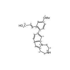 COc1ccc(-c2ccc3cc4n(c3c2)CCNCC4)c(C=CC(=O)O)c1